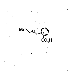 CSCOCc1ccccc1C(=O)O